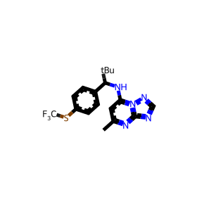 Cc1cc(NC(c2ccc(SC(F)(F)F)cc2)C(C)(C)C)n2ncnc2n1